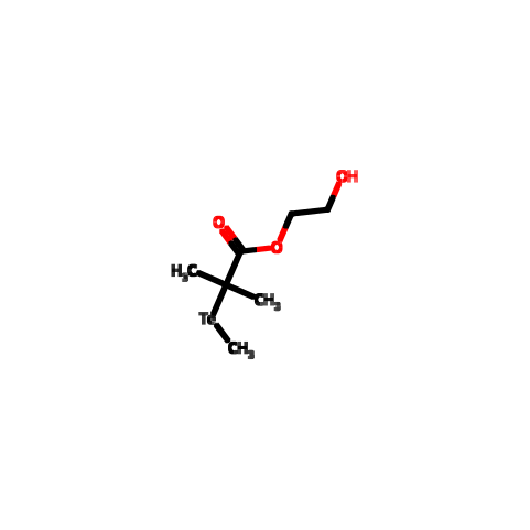 C[Te]C(C)(C)C(=O)OCCO